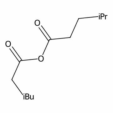 CCC(C)CC(=O)OC(=O)CCC(C)C